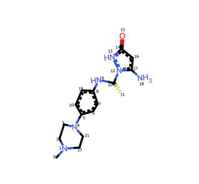 CN1CCN(c2ccc(NC(=S)n3[nH]c(=O)cc3N)cc2)CC1